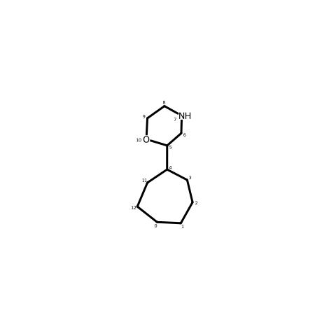 C1CCCC(C2CNCCO2)CC1